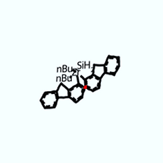 CCC[CH2][Zr](=[SiH2])([CH2]CCC)([c]1cccc2c1Cc1ccccc1-2)[c]1cccc2c1Cc1ccccc1-2